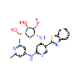 CO[C@@H]1[C@H](O)[C@@H](CO)C[C@H]1Nc1cc(Nc2cc(C)nc(C)c2)ncc1-c1nc2ccccc2s1